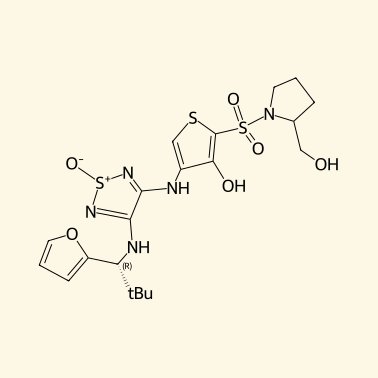 CC(C)(C)[C@@H](Nc1n[s+]([O-])nc1Nc1csc(S(=O)(=O)N2CCCC2CO)c1O)c1ccco1